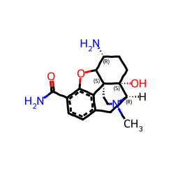 CN1CC[C@]23c4c5ccc(C(N)=O)c4OC2[C@H](N)CC[C@@]3(O)[C@H]1C5